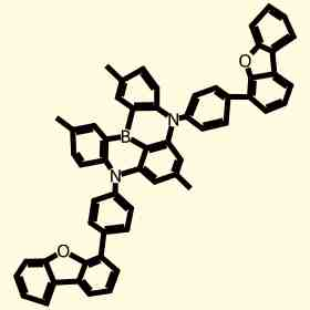 Cc1ccc2c(c1)B1c3cc(C)ccc3N(c3ccc(-c4cccc5c4oc4ccccc45)cc3)c3cc(C)cc(c31)N2c1ccc(-c2cccc3c2oc2ccccc23)cc1